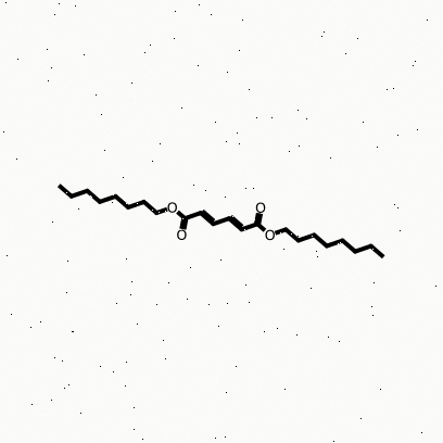 CCCCCCCCOC(=O)/C=C/C=C/C(=O)OCCCCCCCC